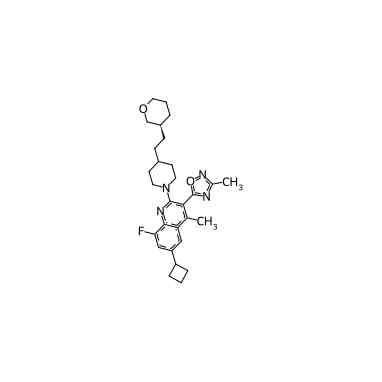 Cc1noc(-c2c(N3CCC(CC[C@@H]4CCCOC4)CC3)nc3c(F)cc(C4CCC4)cc3c2C)n1